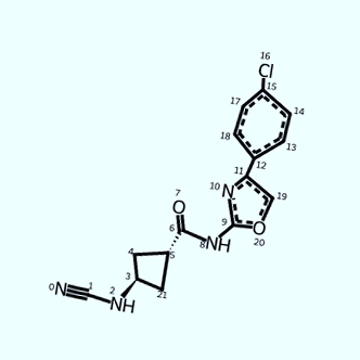 N#CN[C@H]1C[C@H](C(=O)Nc2nc(-c3ccc(Cl)cc3)co2)C1